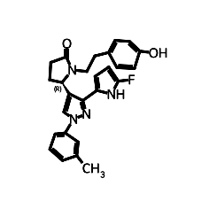 Cc1cccc(-n2cc([C@H]3CCC(=O)N3CCc3ccc(O)cc3)c(-c3ccc(F)[nH]3)n2)c1